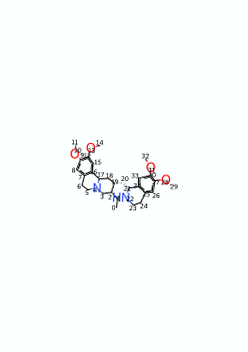 CC[C@H]1CN2CCc3cc(OC)c(OC)cc3C2C[C@@H]1C[C@H]1NCCc2cc(OC)c(OC)cc21